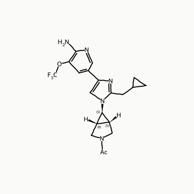 CC(=O)N1C[C@@H]2[C@H](C1)[C@H]2n1cc(-c2cnc(N)c(OC(F)(F)F)c2)nc1CC1CC1